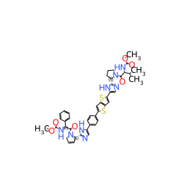 COC(=O)NC(C(=O)N1CCC[C@H]1c1ncc(-c2cc3sc(-c4ccc(-c5cnc([C@@H]6C=CCN6C(=O)[C@H](NC(=O)OC)c6ccccc6)[nH]5)cc4)cc3s2)[nH]1)C(C)C